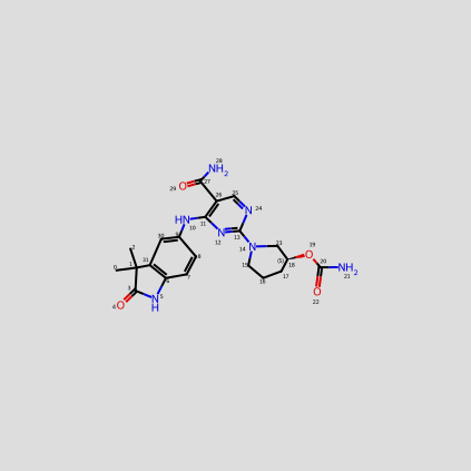 CC1(C)C(=O)Nc2ccc(Nc3nc(N4CCC[C@H](OC(N)=O)C4)ncc3C(N)=O)cc21